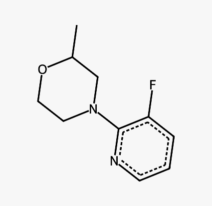 CC1CN(c2ncccc2F)CCO1